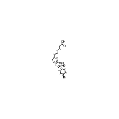 O=C(O)CCCC=CC1CC2CC(NS(=O)(=O)c3ccc(Br)cc3)C1C2